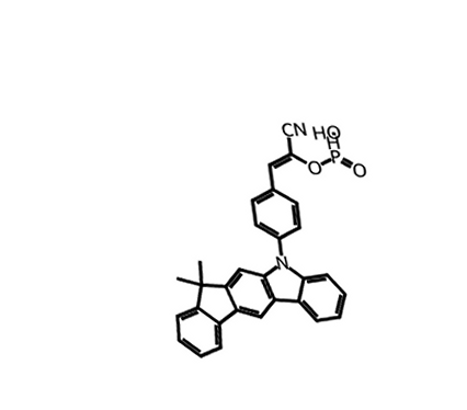 CC1(C)c2ccccc2-c2cc3c4ccccc4n(-c4ccc(C=C(C#N)O[PH](=O)O)cc4)c3cc21